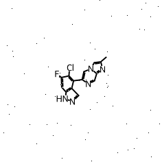 Cc1cn2cc(-c3c(Cl)c(F)cc4[nH]ncc34)ncc2n1